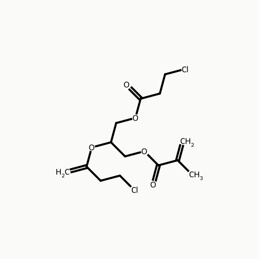 C=C(CCCl)OC(COC(=O)CCCl)COC(=O)C(=C)C